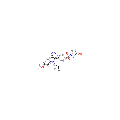 CCOc1ccc2c(N)c(-c3ccc(S(=O)(=O)N4CCC(O)C4)cc3)n(C3CCC3)c2c1